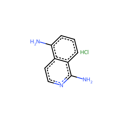 Cl.Nc1cccc2c(N)nccc12